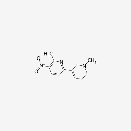 Cc1nc(C2=CCCN(C)C2)ccc1[N+](=O)[O-]